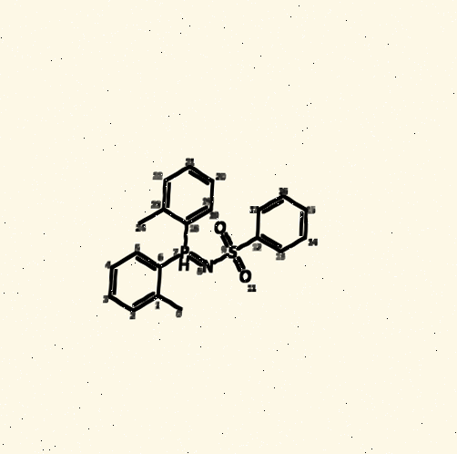 Cc1ccccc1[PH](=NS(=O)(=O)c1ccccc1)c1ccccc1C